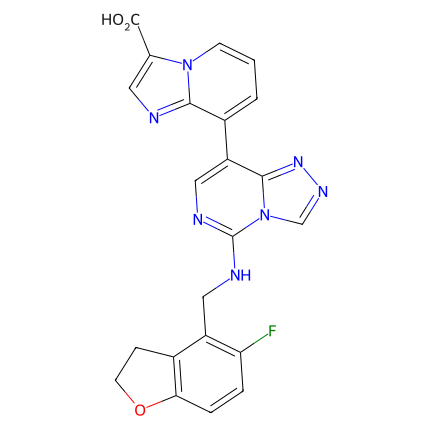 O=C(O)c1cnc2c(-c3cnc(NCc4c(F)ccc5c4CCO5)n4cnnc34)cccn12